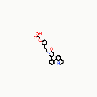 O=C(O)COc1cccc(CCCn2cc(-c3ccccc3-c3cccc4cccnc34)ccc2=O)c1